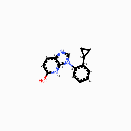 Oc1ccc2ncn(-c3ccccc3C3CC3)c2n1